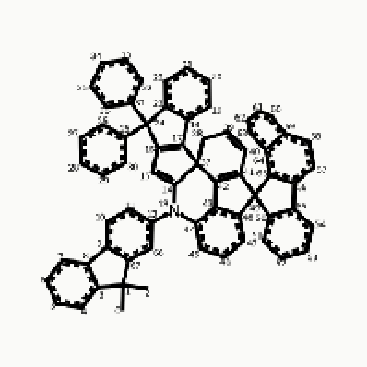 CC1(C)c2ccccc2-c2ccc(N3C4=CC5=C(c6ccccc6C5(c5ccccc5)c5ccccc5)C45CC=CC4=C5c5c3cccc5C43c4ccccc4-c4ccc5ccccc5c43)cc21